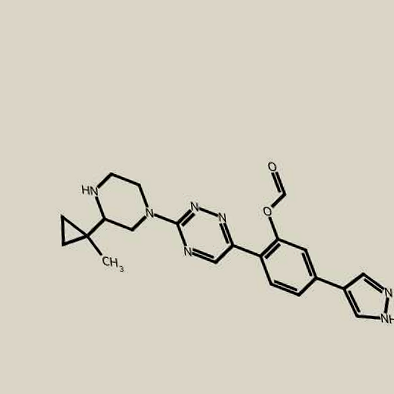 CC1(C2CN(c3ncc(-c4ccc(-c5cn[nH]c5)cc4OC=O)nn3)CCN2)CC1